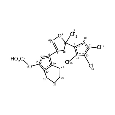 O=C(O)Oc1sc(C2=NOC(c3sc(Cl)c(Cl)c3Cl)(C(F)(F)F)C2)c2c1CCCC2